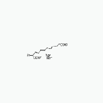 CCC(CCCCCCCCCC(=O)[O-])C(=O)[O-].[Na+].[Na+]